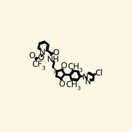 Cc1cc(-n2cc(Cl)cn2)cc(C)c1C1C(=O)C[C@@H](CCNC(=O)c2cccc[n+]2OC(=O)C(F)(F)F)C1=O